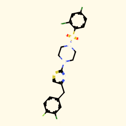 O=S(=O)(c1ccc(Cl)cc1Cl)N1CCN(c2nc(Cc3ccc(F)c(Cl)c3)cs2)CC1